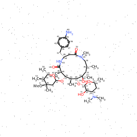 CO[C@]1(C)CC(O[C@H]2[C@H](C)[C@@H](O[C@@H]3O[C@H](C)C[C@H](N(C)C)[C@H]3O)[C@](C)(O)C[C@@H](C)CN(C)C(=O)C[C@@H](Cc3ccc(N)cc3)NC(=O)[C@@H]2C)O[C@@H](C)[C@@H]1C